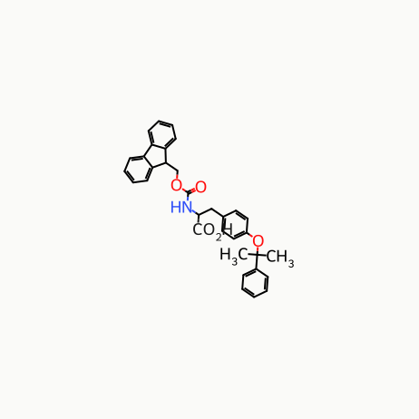 CC(C)(Oc1ccc(CC(NC(=O)OCC2c3ccccc3-c3ccccc32)C(=O)O)cc1)c1ccccc1